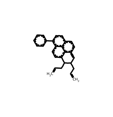 C=CCC1C=c2ccc3ccc(-c4ccccc4)c4ccc(c2c34)C1CC=C